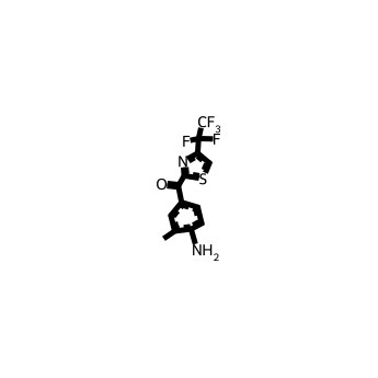 Cc1cc(C(=O)c2nc(C(F)(F)C(F)(F)F)cs2)ccc1N